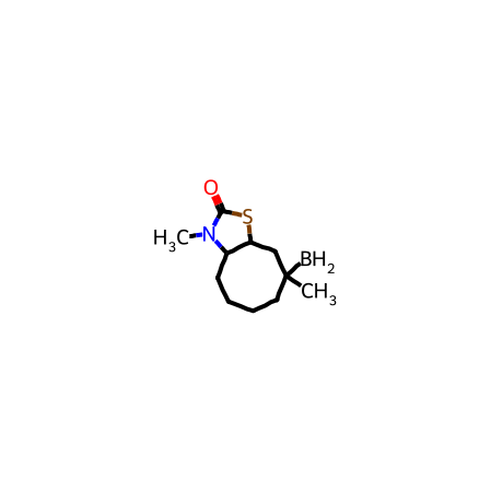 BC1(C)CCCCC2C(C1)SC(=O)N2C